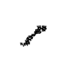 Cc1cnn(-c2cnc(COC3CC4(C3)OC3CC[C@@H](c5cnccn5)N3C4=O)cn2)c1